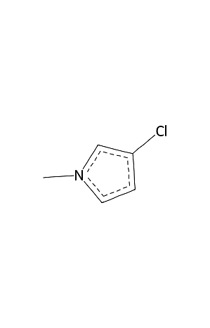 Cn1ccc(Cl)c1